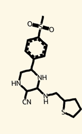 CS(=O)(=O)c1ccc(C2CNC(C#N)C(NCC3CCCS3)N2)cc1